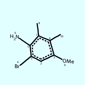 COc1cc(Br)c(N)c(C)c1C